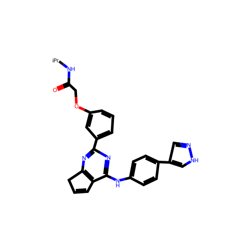 CC(C)NC(=O)COc1cccc(-c2nc3c(c(Nc4ccc(-c5cn[nH]c5)cc4)n2)C=CC3)c1